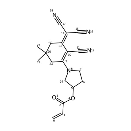 C=CC(=O)OC1CCN(C2=C(C#N)C(=C(C#N)C#N)CC(C)(C)C2)C1